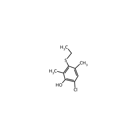 CCSc1c(C)cc(Cl)c(O)c1C